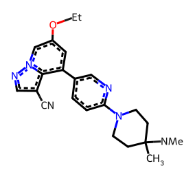 CCOc1cc(-c2ccc(N3CCC(C)(NC)CC3)nc2)c2c(C#N)cnn2c1